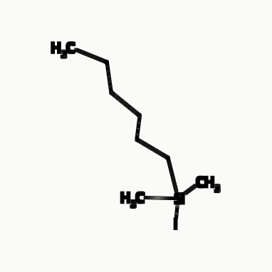 CCCCCC[Si](C)(C)I